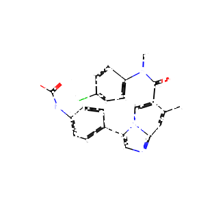 Cc1cc2ncc(-c3ccc(NC(=O)O)cc3)n2cc1C(=O)N(C)c1ccc(Cl)cc1